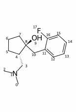 CN(C)C[C@@H]1CCC[C@]1(O)Cc1ccccc1F